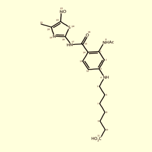 CC(=O)Nc1cc(NCCCCCCC(=O)O)ccc1C(=O)Nc1nc(C)c(N=O)s1